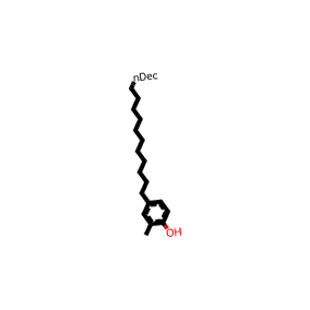 CCCCCCCCCCCCCCCCCCCCCc1ccc(O)c(C)c1